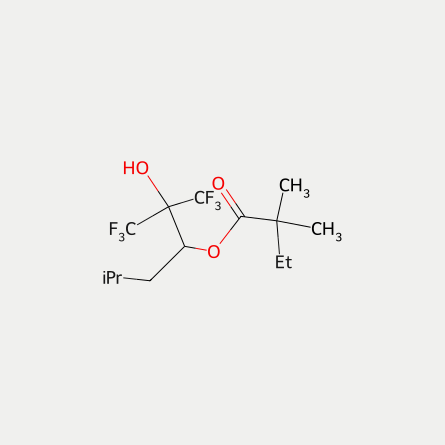 CCC(C)(C)C(=O)OC(CC(C)C)C(O)(C(F)(F)F)C(F)(F)F